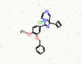 CC(C)Oc1ccc(C2=NC(C3=CC=C3)=C3C=NC=C[N+]23Cl)cc1OCc1ccccc1